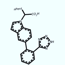 CCCCCC(C(=O)O)n1ccc2cc(-c3ccccc3-c3nn[nH]n3)ccc21